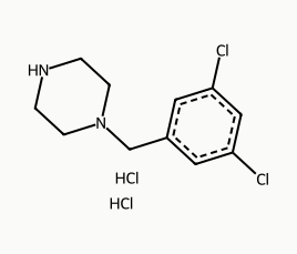 Cl.Cl.Clc1cc(Cl)cc(CN2CCNCC2)c1